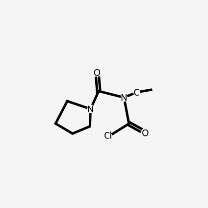 CCN(C(=O)Cl)C(=O)N1CCCC1